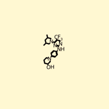 CC1CC(C)CN(c2nc(Nc3ccc(N4CCCC(O)C4)cc3)ncc2C(F)(F)F)C1